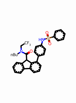 CCCCN(CC(F)(F)F)C(=O)C1c2ccccc2-c2cccc(-c3ccc(NS(=O)(=O)c4ccccc4)cc3)c21